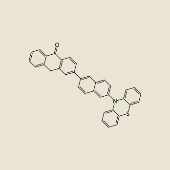 O=C1c2ccccc2Cc2cc(-c3ccc4cc(N5c6ccccc6Sc6ccccc65)ccc4c3)ccc21